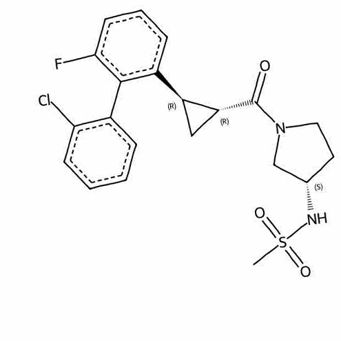 CS(=O)(=O)N[C@H]1CCN(C(=O)[C@@H]2C[C@H]2c2cccc(F)c2-c2ccccc2Cl)C1